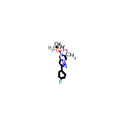 C[C@H]1Cn2nc(-c3ccc(F)cc3)cc2CN1C(=O)OC(C)(C)C